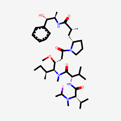 CC[C@H](C)[C@@H]([C@@H](CC(=O)N1CCC[C@H]1C[C@@H](C)C(=O)N[C@H](C)[C@@H](O)c1ccccc1)OC)N(C)C(=O)[C@@H](NC(=O)[C@H](C(C)C)N(C)C(C)I)C(C)C